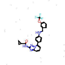 O=C(Nc1nc2cccc(-c3ccc(NCc4cccc(OC(F)(F)F)c4)cc3)n2n1)C1CC1